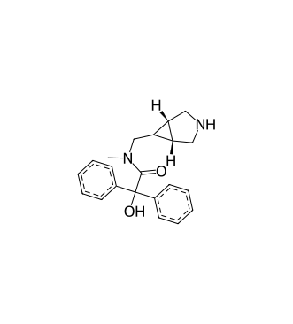 CN(CC1[C@H]2CNC[C@@H]12)C(=O)C(O)(c1ccccc1)c1ccccc1